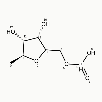 C[C@@H]1OC(CO[PH](=O)O)[C@@H](O)[C@H]1O